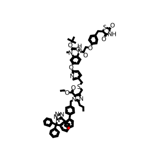 CCCc1nc(CSCc2ccc(Oc3ccc(NC(=O)COc4ccc(CC5SC(=O)NC5=O)cc4)c(N(C)C(=O)OC(C)(C)C)c3)nc2)c(C(=O)OCC)n1Cc1ccc(-c2ccccc2-c2nnnn2C(c2ccccc2)(c2ccccc2)c2ccccc2)cc1